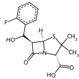 CC1(C)S[C@@H]2[C@H](C(O)c3ccccc3F)C(=O)N2[C@H]1C(=O)O